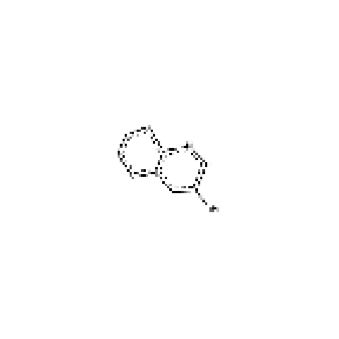 CCCc1[c]nc2ccccc2c1